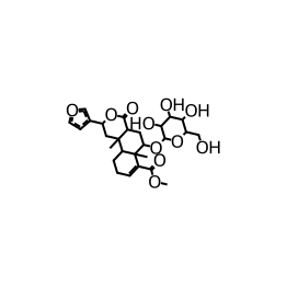 COC(=O)C1=CCCC2C3(C)CC(c4ccoc4)OC(=O)C3CC(OC3OC(CO)C(O)C(O)C3O)C12C